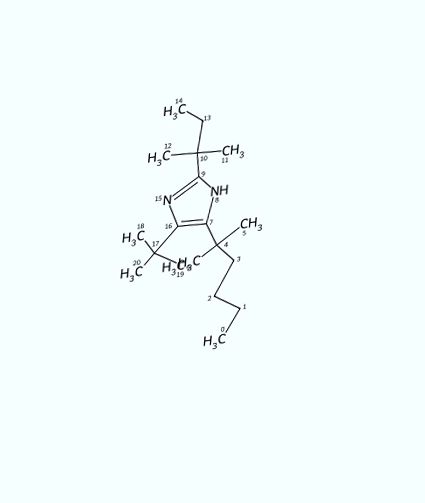 CCCCC(C)(C)c1[nH]c(C(C)(C)CC)nc1C(C)(C)C